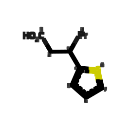 CC(C)C(CC(=O)O)c1cccs1